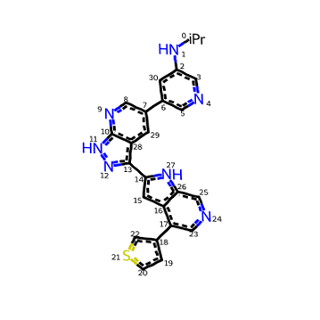 CC(C)Nc1cncc(-c2cnc3[nH]nc(-c4cc5c(-c6ccsc6)cncc5[nH]4)c3c2)c1